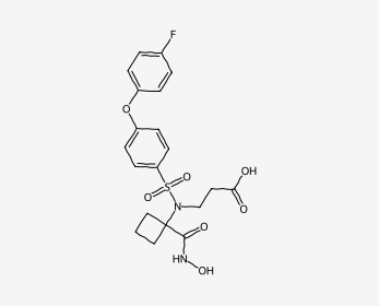 O=C(O)CCN(C1(C(=O)NO)CCC1)S(=O)(=O)c1ccc(Oc2ccc(F)cc2)cc1